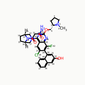 CN1CCC[C@H]1COc1nc(N2C[C@H]3CC[C@@H](C2)N3C(=O)CC(N)=O)c2cc(Cl)c(-c3cc(O)cc4ccccc34)c(F)c2n1